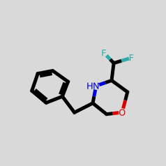 FC(F)C1COCC(Cc2ccccc2)N1